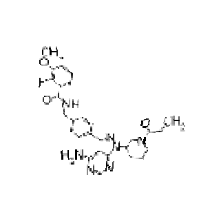 C=CC(=O)N1CCCC(n2nc(-c3ccc(CNC(=O)c4cccc(OC)c4F)cc3)c3c(N)ncnc32)C1